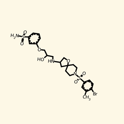 Cc1cc(S(=O)(=O)N2CCC3(CC2)CC(NCC(O)COc2cccc(S(N)(=O)=O)c2)CO3)ccc1Br